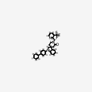 O=C1CC2(CCN1Cc1ncccc1C(F)(F)F)CN(c1ccc(-c3ccccc3)cc1)c1ccccc12